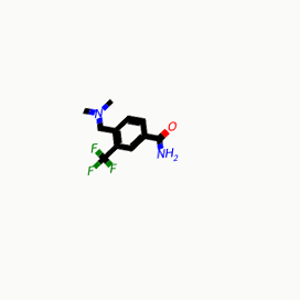 CN(C)Cc1ccc(C(N)=O)cc1C(F)(F)F